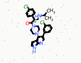 CC(C)NC[C@@H](C(=O)N1CCN(c2c(-c3cccc(Cl)c3)cnc3[nH]ccc23)CC1)c1ccc(Cl)cc1